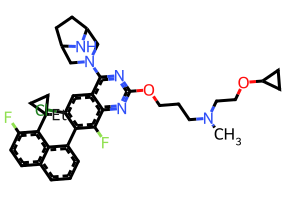 CCC1(c2c(F)ccc3cccc(-c4c(Cl)cc5c(N6CC7CCC(C6)N7)nc(OCCCN(C)CCOC6CC6)nc5c4F)c23)CC1